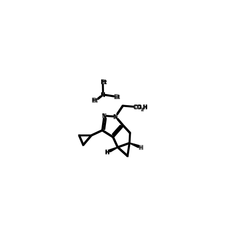 CCN(CC)CC.O=C(O)Cn1nc(C2CC2)c2c1C[C@@H]1C[C@H]21